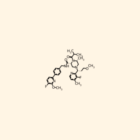 COCC[C@H](c1nccc(C)c1F)N1C[C@@H](C)N(C(=O)C(C)C)[C@@H](C(=O)NCc2ccc(-c3ccc(F)c(OC)n3)cc2)C1